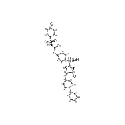 O=C(Cc1ccc(NC2=NC(=O)/C(=C\c3ccc(-c4ccccc4)cc3)S2)cc1)NS(=O)(=O)c1ccc(Cl)cc1.[NaH]